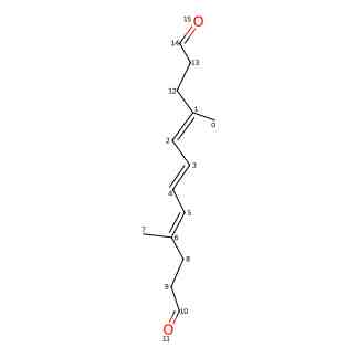 C\C(=C/C=C/C=C(\C)CCC=O)CCC=O